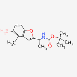 Bc1ccc2oc(C(C)NC(=O)OC(C)(C)C)cc2c1C